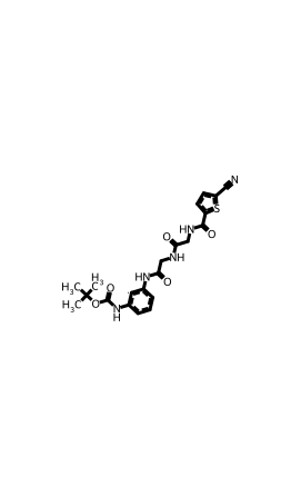 CC(C)(C)OC(=O)Nc1[c]c(NC(=O)CNC(=O)CNC(=O)c2ccc(C#N)s2)ccc1